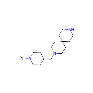 CC(C)N1CCC(CN2CCC3(CCNCC3)CC2)CC1